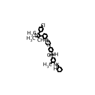 Cc1cc([S+]([O-])Nc2ccc(N3CCN(c4cccc(-c5c(C=O)c(C)n(C)c5-c5ccc(Cl)cc5)c4)CC3)cc2)ccc1NSC1=CCCC=C1